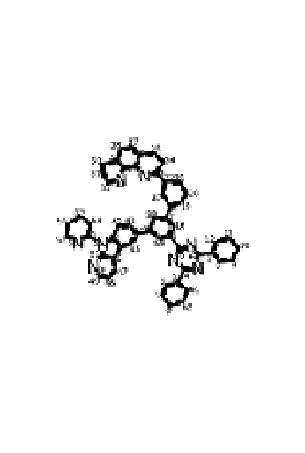 c1ccc(-c2nc(-c3ccccc3)nc(-c3cc(-c4cccc(-c5ccc6ccc7cccnc7c6n5)c4)cc(-c4ccc5c(c4)c4cccnc4n5-c4ccccn4)c3)n2)cc1